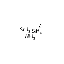 [AlH3].[SiH4].[SrH2].[Zr]